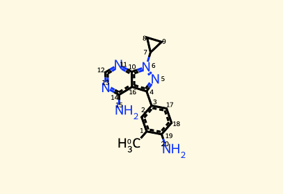 Cc1cc(-c2nn(C3CC3)c3ncnc(N)c23)ccc1N